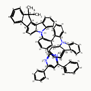 CC1(C)c2ccccc2-c2ccc3c(c21)c1ccccc1n3-c1ccc(-c2nc(-c3ccccc3)cc(-c3ccccc3)n2)cc1-c1ccccc1-n1c2ccccc2c2ccccc21